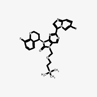 C[Si](C)(C)CCOCn1c(=O)n([C@@H]2CCOc3c(F)cccc32)c2nc(-c3cnc4ccc(F)cn34)ncc21